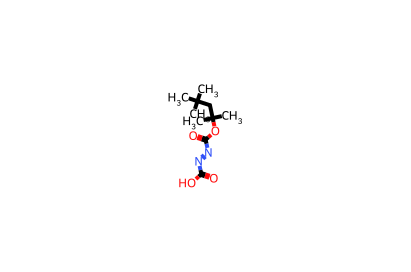 CC(C)(C)CC(C)(C)OC(=O)N=NC(=O)O